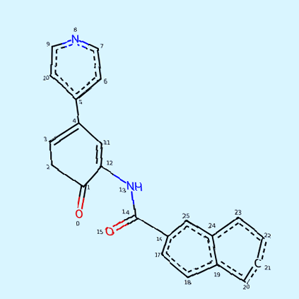 O=C1CC=C(c2ccncc2)C=C1NC(=O)c1ccc2ccccc2c1